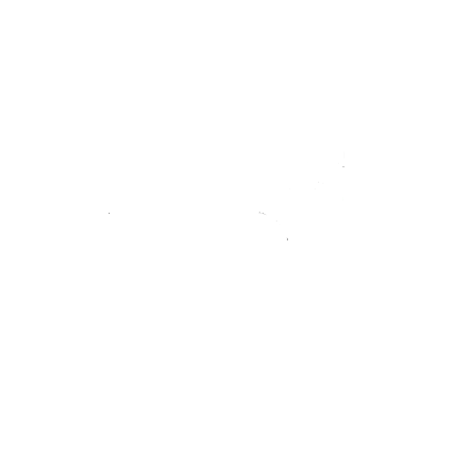 CCC1=Cc2c(-c3ccc(C(C)(C)C)cc3)cccc2[CH]1[Zr]([Cl])([Cl])([CH]1C(C(C)C)=Cc2c(C(C)CC)cccc21)[SiH](C)C